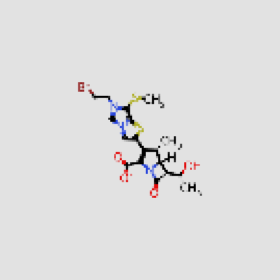 CSc1c2sc(C3=C(C(=O)[O-])N4C(=O)[C@H]([C@@H](C)O)[C@H]4[C@H]3C)c[n+]2cn1CCBr